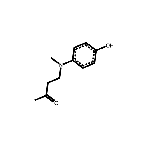 CC(=O)CCN(C)c1ccc(O)cc1